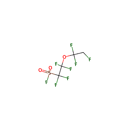 O=S(=O)(F)C(F)(F)C(F)(F)OC(F)(F)CF